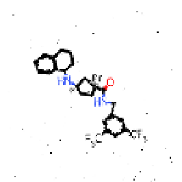 CC(C)[C@]1(C(=O)NCc2cc(C(F)(F)F)cc(C(F)(F)F)c2)CC[C@@H](NC2CCCc3ccccc32)C1